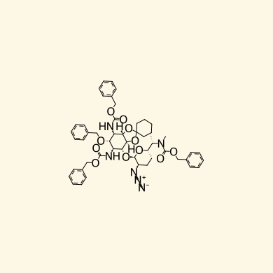 C[C@@H]([C@@H]1CC[C@@H](N=[N+]=[N-])[C@@H](O[C@@H]2[C@@H](NC(=O)OCc3ccccc3)[C@H](OCc3ccccc3)[C@@H](NC(=O)OCc3ccccc3)[C@@H]3OC4(CCCCC4)O[C@@H]23)O1)N(C)C(=O)OCc1ccccc1